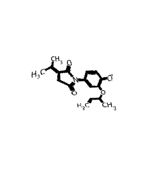 C=CC(C)Oc1cc(N2C(=O)CC(=C(C)C)C2=O)ccc1Cl